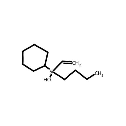 C=C[Si](O)(CCCC)C1CCCCC1